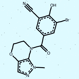 Cn1ncc2c1N(C(=O)c1cc(Br)c(O)c(C#N)c1)CCO2